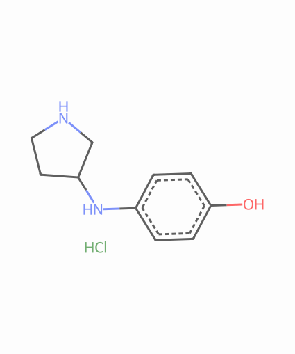 Cl.Oc1ccc(NC2CCNC2)cc1